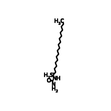 CCCCCCCCCCCCCCCCCC[SiH2]NC(N)=O